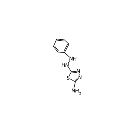 Nc1nnc(NNc2ccccc2)s1